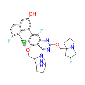 C#Cc1c(F)ccc2cc(O)cc(-c3c(Cl)c4c5c(nc(OC[C@@]67CCCN6C[C@H](F)C7)nc5c3F)N3CC5CCC(N5)C3CO4)c12